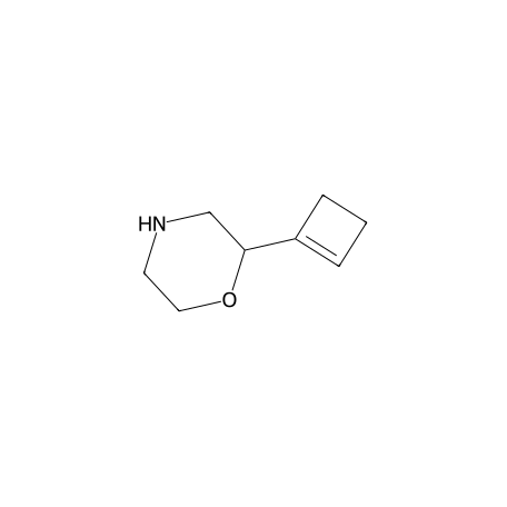 C1=C(C2CNCCO2)CC1